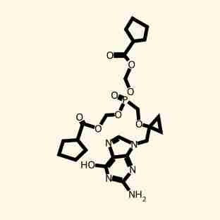 Nc1nc(O)c2ncn(CC3(OCP(=O)(OCOC(=O)C4CCCC4)OCOC(=O)C4CCCC4)CC3)c2n1